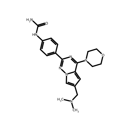 CN(C)Cc1cc2c(N3CCOCC3)nc(-c3ccc(NC(N)=O)cc3)nn2c1